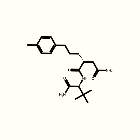 Cc1ccc(CCC[C@H](CC(N)=O)C(=O)N[C@H](C(N)=O)C(C)(C)C)cc1